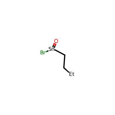 CCC[CH2][Sn](=[O])[Br]